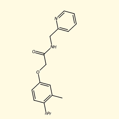 CCCc1ccc(OCC(=O)NCc2ccccn2)cc1C